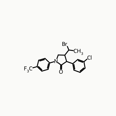 CC(Br)C1CN(c2ccc(C(F)(F)F)cc2)C(=O)C1c1cccc(Cl)c1